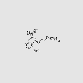 COCCOc1cc([N+](=O)[O-])cc2ncccc12.[Sn]